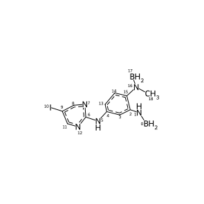 BNc1cc(Nc2ncc(I)cn2)ccc1N(B)C